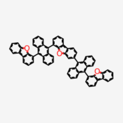 c1ccc2c(c1)oc1c(-c3c4ccccc4c(-c4ccc5c(c4)oc4c(-c6c7ccccc7c(-c7cccc8c7oc7ccccc78)c7ccccc67)cccc45)c4ccccc34)cccc12